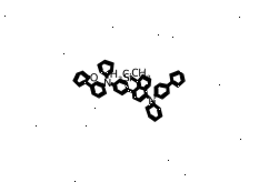 C[Si]1(C)c2cc(N(c3ccccc3)c3cccc4c3oc3ccccc34)ccc2-c2ccc(N(c3ccccc3)c3ccc(-c4ccccc4)cc3)c3cccc1c23